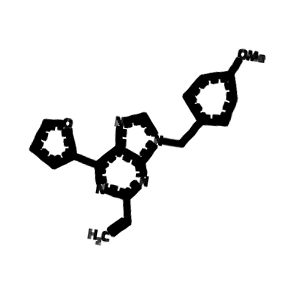 C=Cc1nc(-c2ccco2)c2ncn(Cc3ccc(OC)cc3)c2n1